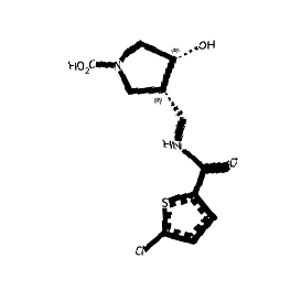 O=C(NC[C@@H]1CN(C(=O)O)C[C@@H]1O)c1ccc(Cl)s1